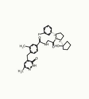 Cc1cc(Cc2ccc(C(=O)NCC(=O)N3[C@H](c4cccc(F)c4)CC[C@@H]3C3(O)CCCC3)cc2C)c(=O)[nH]n1